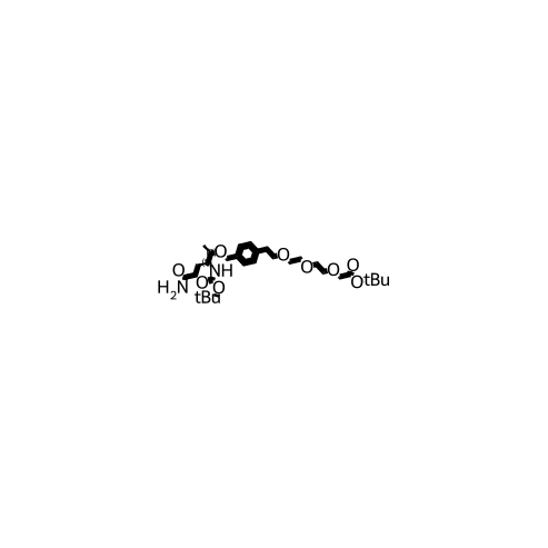 C[C@@H](OCc1ccc(CCOCCOCCOCC(=O)OC(C)(C)C)cc1)[C@H](CCC(N)=O)NC(=O)OC(C)(C)C